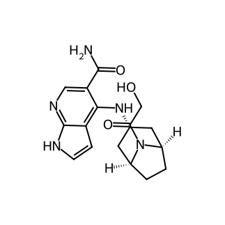 NC(=O)c1cnc2[nH]ccc2c1N[C@@H]1C[C@H]2CC[C@@H](C1)N2C(=O)CO